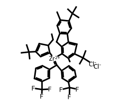 CCC1C=C(C(C)(C)C)C=[C]1[Zr+2](=[C](c1cccc(C(F)(F)F)c1)c1cccc(C(F)(F)F)c1)[c]1c(C)c(C(C)(C)C)cc2c1Cc1cc(C)c(C(C)(C)C)cc1-2.[Cl-].[Cl-]